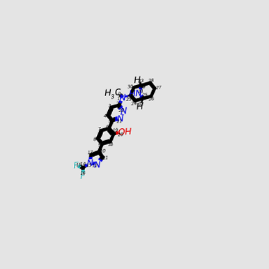 CN(c1ccc(-c2ccc(-c3cnn(C(F)F)c3)cc2O)nn1)[C@@H]1C[C@H]2CCC[C@@H](C1)N2